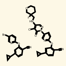 N#Cc1ccc(C2CC2)cc1Oc1ccc(-n2ncc(NCC3(F)CCCOC3)c(Cl)c2=O)cn1.N#Cc1ccc(C2CC2)cc1Oc1ccc(Br)cn1